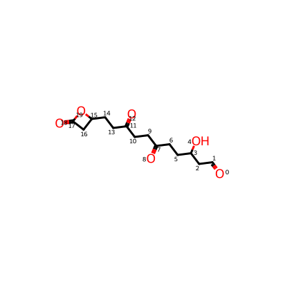 O=CCC(O)CCC(=O)CCC(=O)CCC1CC(=O)O1